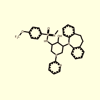 CN=S(=O)(NC1CN(c2ccccn2)CC(N2c3ccccc3CCc3ccccc32)C1O)c1ccc(OC(F)(F)F)cc1